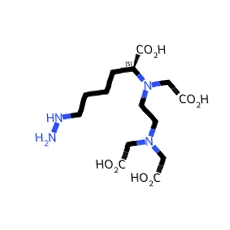 NNCCCC[C@@H](C(=O)O)N(CCN(CC(=O)O)CC(=O)O)CC(=O)O